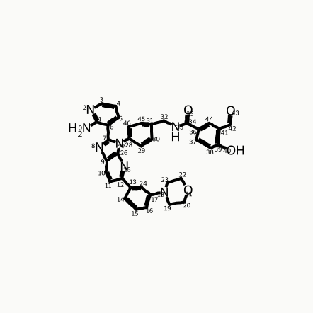 Nc1ncccc1-c1nc2ccc(-c3cccc(N4CCOCC4)c3)nc2n1-c1ccc(CNC(=O)c2ccc(O)c(C=O)c2)cc1